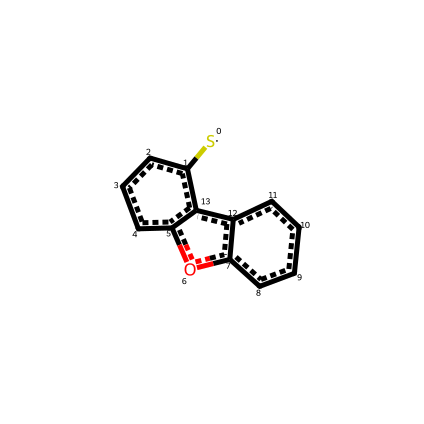 [S]c1cccc2oc3ccccc3c12